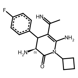 CC(=N)C1=C(N)N(C2CCC2)C(=O)[C@@H](N)C1c1ccc(F)cc1